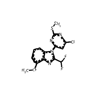 COc1cccc2c1nc(C(F)F)n2-c1cc(Cl)nc(SC)n1